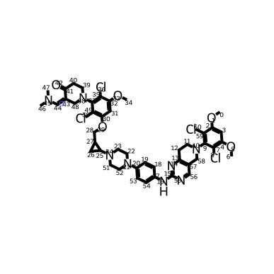 COc1cc(OC)c(Cl)c(N2CCc3nc(Nc4ccc(N5CCN(C6CC6COc6cc(OC)c(Cl)c(N7CCC(=O)/C(=C\N(C)C)C7)c6Cl)CC5)cc4)ncc3C2)c1Cl